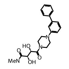 CNC(=O)[C@H](O)[C@@H](O)C(=O)N1CCN(c2cccc(-c3ccccc3)c2)CC1